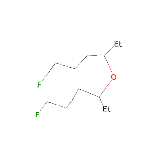 CCC(CCCF)OC(CC)CCCF